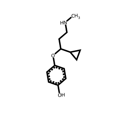 CNCCC(Oc1ccc(O)cc1)C1CC1